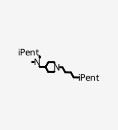 CCCC(C)CCCCN1CCC(CN(C)CC(C)CCC)CC1